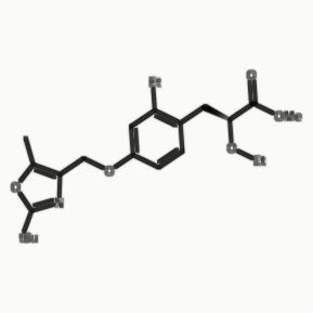 CCO[C@@H](Cc1ccc(OCc2nc(C(C)(C)C)oc2C)cc1CC)C(=O)OC